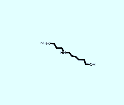 CCCCCCCCCNCCCCCCO